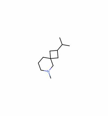 CC(C)C1CC2(CCCN(C)C2)C1